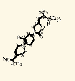 CC(C#N)=C1CCN(c2ccc(N3CC(CC(NC(=O)O)C(C)C)OC3=O)cc2F)CC1